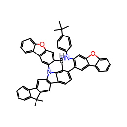 CC(C)(C)c1ccc(Nc2cc3oc4ccccc4c3cc2-c2ccc3c4cc5c(cc4n4c3c2Bc2cc3oc6ccccc6c3cc2-4)-c2ccccc2C5(C)C)cc1